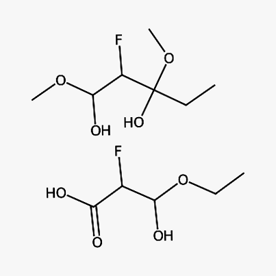 CCC(O)(OC)C(F)C(O)OC.CCOC(O)C(F)C(=O)O